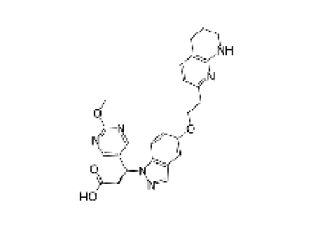 COc1ncc([C@H](CC(=O)O)n2ncc3cc(OCCc4ccc5c(n4)NCCC5)ccc32)cn1